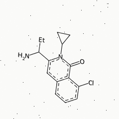 CCC(N)c1cc2cccc(Cl)c2c(=O)n1C1CC1